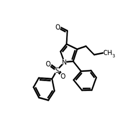 CCCc1c(C=O)cn(S(=O)(=O)c2ccccc2)c1-c1ccccc1